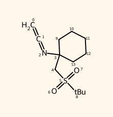 C=C=NC1(CS(=O)(=O)C(C)(C)C)CCCCC1